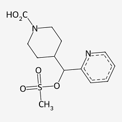 CS(=O)(=O)OC(c1ccccn1)C1CCN(C(=O)O)CC1